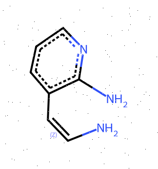 N/C=C\c1cccnc1N